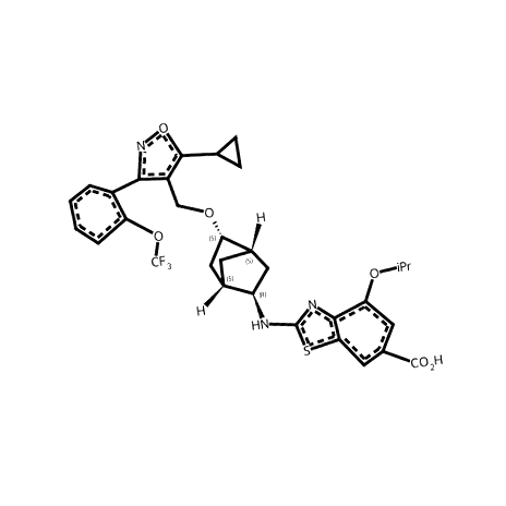 CC(C)Oc1cc(C(=O)O)cc2sc(N[C@@H]3C[C@@H]4C[C@H]3C[C@@H]4OCc3c(-c4ccccc4OC(F)(F)F)noc3C3CC3)nc12